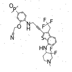 CN1CCC(Nc2cccc3c(CC(F)(F)F)c(C#CCNc4ccc(P(C)(C)=O)cc4OCC#N)sc23)C(F)(F)C1